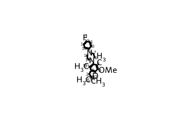 COc1c(C)c(N2CCN(c3ccc(F)cc3)CC2)c(C)c2c1OC(C)(C)C2